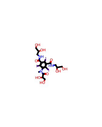 CN(C(=O)C(O)CO)c1c(I)c(C(=O)NCC(O)CO)c(I)c(C(=O)NCC(O)CO)c1I